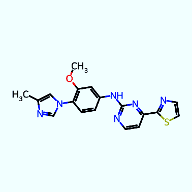 COc1cc(Nc2nccc(-c3nccs3)n2)ccc1-n1cnc(C)c1